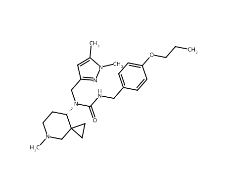 CCCOc1ccc(CNC(=O)N(Cc2cc(C)n(C)n2)[C@H]2CCN(C)CC23CC3)cc1